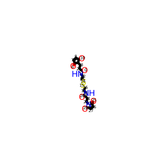 O=C(CCC1C(=O)C=CC1=O)NCCSSCCNC(=O)CCN1C(=O)C=CC1=O